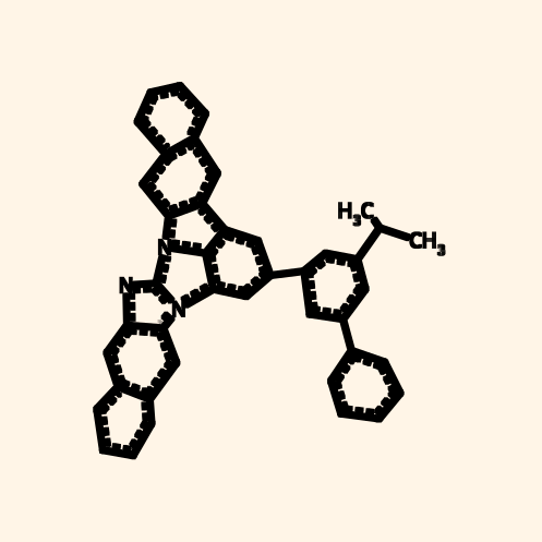 CC(C)c1cc(-c2ccccc2)cc(-c2cc3c4cc5ccccc5cc4n4c3c(c2)n2c3cc5ccccc5cc3nc24)c1